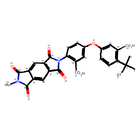 CCC(C)(C)c1ccc(Oc2ccc(-n3c(=O)c4cc5c(=O)n(C(C)(C)C)c(=O)c5cc4c3=O)c(C(=O)O)c2)cc1C(=O)O